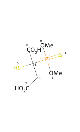 COP(=S)(OC)C(S)(CC(=O)O)C(=O)O